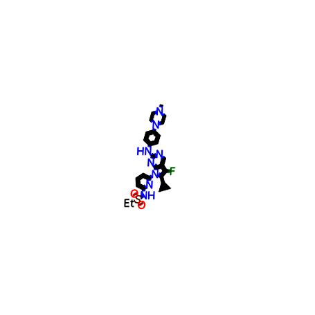 CCS(=O)(=O)Nc1cccc(-n2c(C3CC3)c(F)c3cnc(Nc4ccc(N5CCN(C)CC5)cc4)nc32)n1